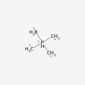 B[PH](C)(C)C